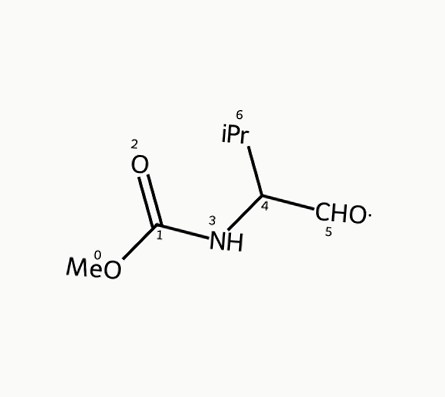 COC(=O)NC([C]=O)C(C)C